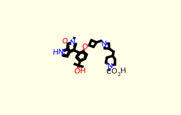 Cn1cc(-c2cc(C(C)(C)O)ccc2OC2CC(CN3CC(CC4CCN(C(=O)O)CC4)C3)C2)c2cc[nH]c2c1=O